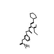 C=C(/C=C(/C=C/C1CCCCC1)C(=C/C)\CC)Cc1cccc(CC(=C)NC)c1